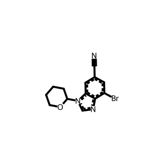 N#Cc1cc(Br)c2ncn(C3CCCCO3)c2c1